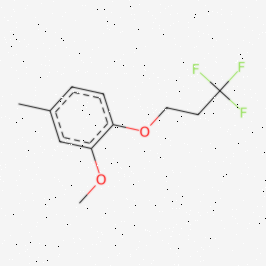 COc1cc(C)ccc1OCCC(F)(F)F